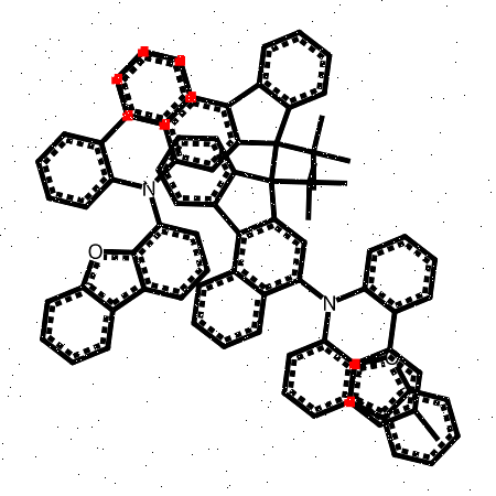 Cc1cccc(-c2ccccc2N(c2cc3c(c4ccccc24)-c2ccccc2C3(C(C)(C)C)C2(C(C)(C)C)c3ccccc3-c3c2cc(N(c2ccccc2-c2ccccc2)c2cccc4c2oc2ccccc24)c2ccccc32)c2cccc3c2oc2ccccc23)c1